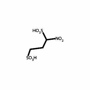 O=[N+]([O-])C(CCS(=O)(=O)O)S(=O)(=O)O